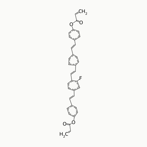 C=CC(=O)Oc1ccc(/C=C/c2ccc(/C=C/c3ccc(/C=C/c4ccc(OC(=O)C=C)cc4)cc3F)cc2)cc1